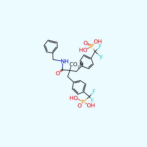 O=C(O)C(Cc1ccc(C(F)(F)P(=O)(O)O)cc1)(Cc1ccc(C(F)(F)P(=O)(O)O)cc1)C(=O)NCc1ccccc1